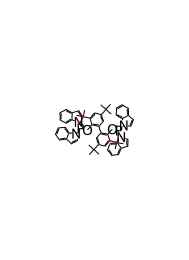 CC(C)(C)c1cc(-c2cc(C(C)(C)C)cc(C(C)(C)C)c2OP(n2ccc3ccccc32)n2ccc3ccccc32)c(OP(n2ccc3ccccc32)n2ccc3ccccc32)c(C(C)(C)C)c1